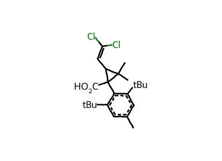 Cc1cc(C(C)(C)C)c(C2(C(=O)O)C(C=C(Cl)Cl)C2(C)C)c(C(C)(C)C)c1